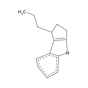 CCCC1CCC2=C1c1ccccc1[N]2